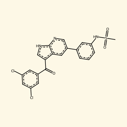 CS(=O)(=O)Nc1cccc(-c2cnc3[nH]cc(C(=O)c4cc(Cl)cc(Cl)c4)c3c2)c1